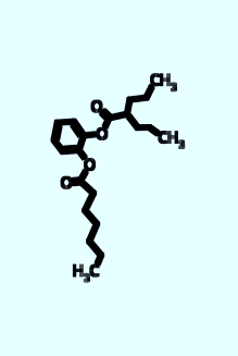 CCCCCCC(=O)Oc1ccccc1OC(=O)C(CCC)CCC